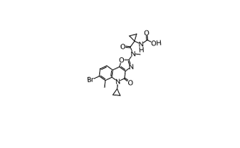 Cc1c(Br)ccc2c3oc(N(C)C(=O)C4(NC(=O)O)CC4)nc3c(=O)n(C3CC3)c12